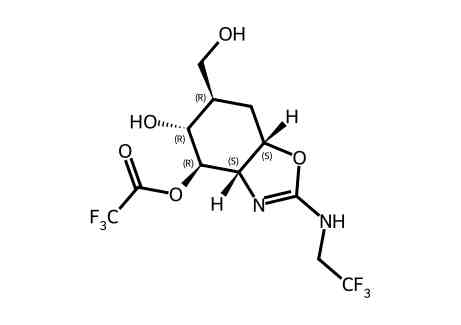 O=C(O[C@H]1[C@H](O)[C@@H](CO)C[C@@H]2OC(NCC(F)(F)F)=N[C@H]12)C(F)(F)F